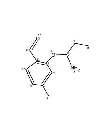 CCC(N)Oc1cc(C)ccc1C=O